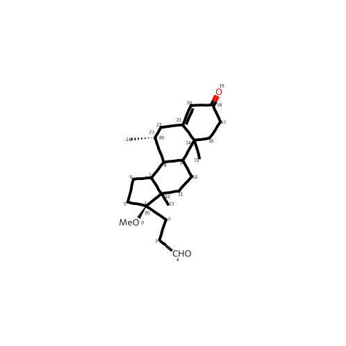 CO[C@@]1(CCC=O)CCC2C3C(CCC21C)C1(C)CCC(=O)C=C1C[C@H]3C